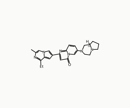 CCc1nc(C)cn2cc(-c3cc(=O)n4cc(N5CCN6CCC[C@H]6C5)ccc4n3)cc12